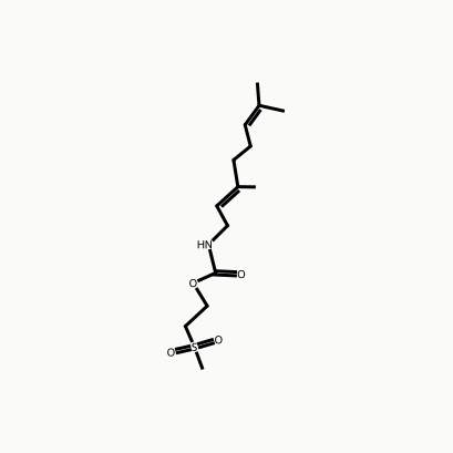 CC(C)=CCC/C(C)=C/CNC(=O)OCCS(C)(=O)=O